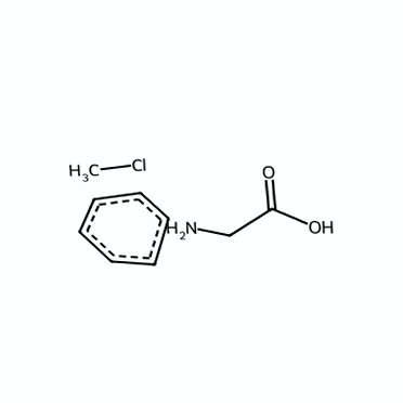 CCl.NCC(=O)O.c1ccccc1